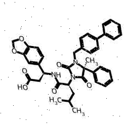 CC(C)C[C@@H](C(=O)N[C@@H](CC(=O)O)c1ccc2c(c1)OCO2)N1C(=O)N(Cc2ccc(-c3ccccc3)cc2)[C@@](C)(c2ccccc2)C1=O